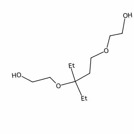 CCC(CC)(CCOCCO)OCCO